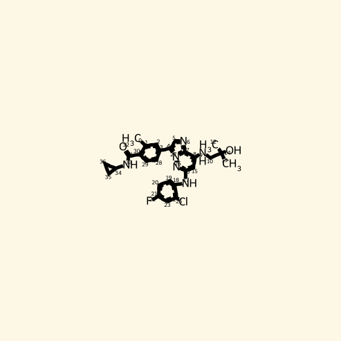 Cc1cc(-c2cnc3c(NCC(C)(C)O)cc(Nc4ccc(F)cc4Cl)nn23)ccc1C(=O)NC1CC1